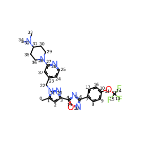 Cc1cc(-c2nc(-c3ccc(OC(F)(F)F)cc3)no2)nn1Cc1ccnc(N2CCC(N(C)C)CC2)c1